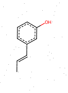 [CH2]/C=C/c1cccc(O)c1